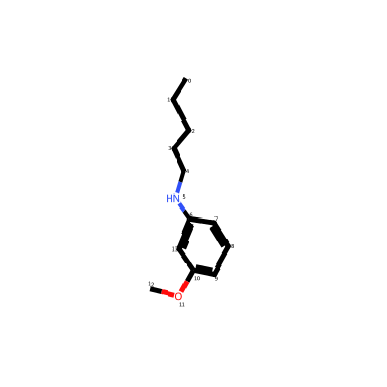 CCCCCNc1cccc(OC)c1